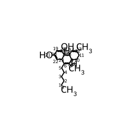 CCCCCCC1=C(C)[C@@H]2CCC(C)=C[C@H]2C2C(O)=CC(O)=CC12